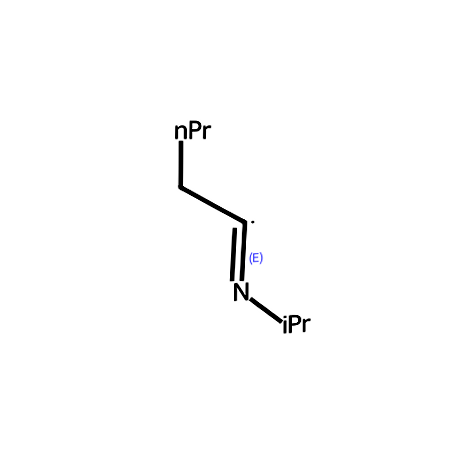 CCCC/[C]=N/C(C)C